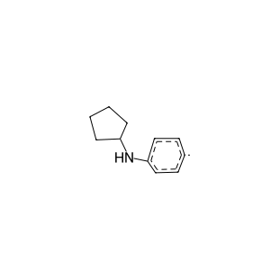 [c]1ccc(NC2CCCC2)cc1